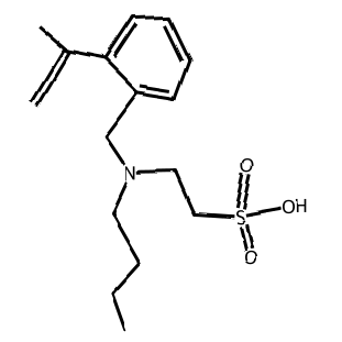 C=C(C)c1ccccc1CN(CCCC)CCS(=O)(=O)O